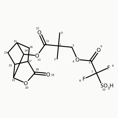 CC(C)(COC(=O)C(F)(F)S(=O)(=O)O)C(=O)OC1C2CC3C(=O)OC1C3C2